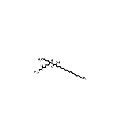 CCCCCCCCCCCCCCC(O)C(=O)NC(CCCC)COCC(=O)OCC